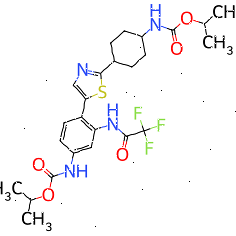 CC(C)OC(=O)Nc1ccc(-c2cnc(C3CCC(NC(=O)OC(C)C)CC3)s2)c(NC(=O)C(F)(F)F)c1